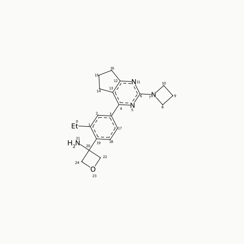 CCc1cc(-c2nc(N3CCC3)nc3c2CCC3)ccc1C1(N)COC1